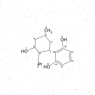 CC1CCC(C(C)C)C(O)C1.Oc1cccc(O)c1